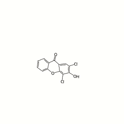 O=c1c2ccccc2oc2c(Cl)c(O)c(Cl)cc12